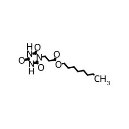 CCCCCCCCOC(=O)CCn1c(=O)[nH]c(=O)[nH]c1=O